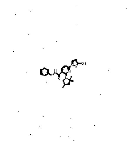 CC1CN(c2nc(-n3ccc(O)n3)ccc2C(=O)NSc2ccccc2)C(C)(C)C1